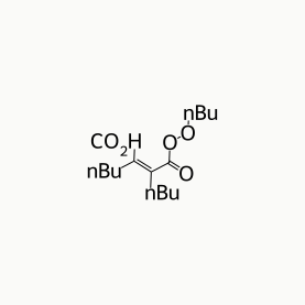 CCCCOOC(=O)C(CCCC)=C(CCCC)C(=O)O